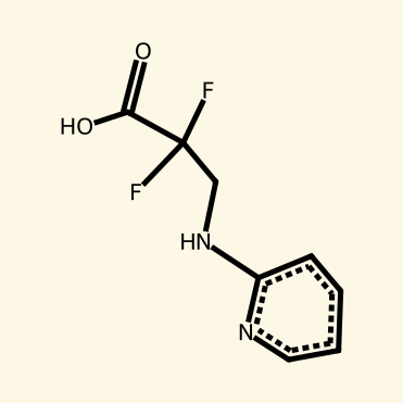 O=C(O)C(F)(F)CNc1ccccn1